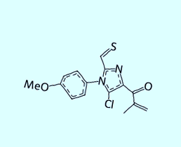 C=C(C)C(=O)c1nc(C=S)n(-c2ccc(OC)cc2)c1Cl